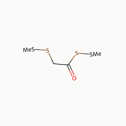 CSSCC(=O)SSC